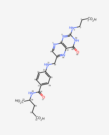 O=C(O)CCNc1nc2ncc(CNc3ccc(C(=O)NC(CCC(=O)O)C(=O)O)cc3)nc2c(=O)[nH]1